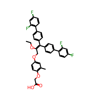 CCOC(COc1ccc(OCC(=O)O)c(C)c1)=C(c1ccc(-c2ccc(F)cc2F)cc1)c1ccc(-c2ccc(F)cc2F)cc1